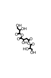 O=C(CC(O)C(=O)OC(=O)C(O)CO)OC(=O)C(O)CO